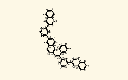 c1ccc2ncc(-c3ncnc(-c4ccc5c(ccc6cc(-c7ncnc(-c8cnc9ccccc9c8)n7)c7ccccc7c65)c4)n3)cc2c1